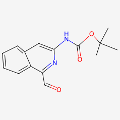 CC(C)(C)OC(=O)Nc1cc2ccccc2c(C=O)n1